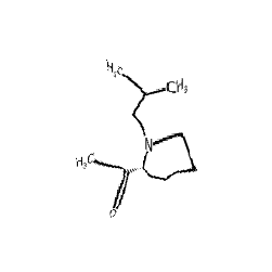 CC(=O)[C@H]1CCCN1CC(C)C